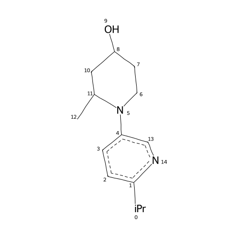 CC(C)c1ccc(N2CCC(O)CC2C)cn1